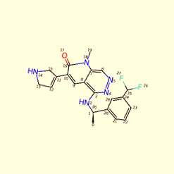 C[C@@H](Nc1nncc2c1cc(C1=CCNC1)c(=O)n2C)c1cccc(C(F)F)c1